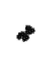 CC1(C)CCC(C)(C)c2c(N(c3ccc4c(c3)Oc3ccccc3C43C4CC5CC6CC3C64C5)c3ccc4oc5ccccc5c4c3)cccc21